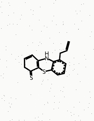 C=CCc1cccc2c1NC1=C(S2)C(=S)CC=C1